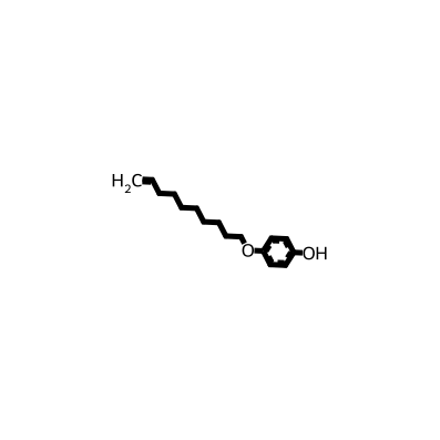 C=CCCCCCCCCOc1ccc(O)cc1